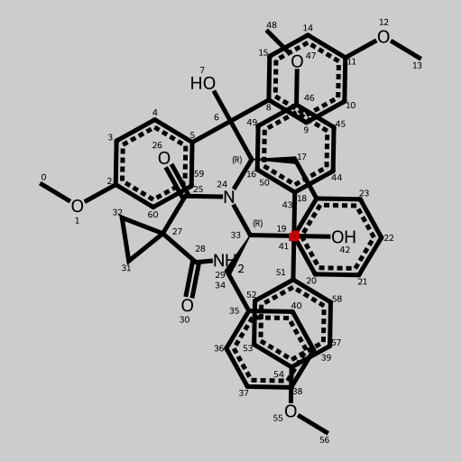 COc1ccc(C(O)(c2ccc(OC)cc2)[C@@H](Cc2ccccc2)N(C(=O)C2(C(N)=O)CC2)[C@H](Cc2ccccc2)C(O)(c2ccc(OC)cc2)c2ccc(OC)cc2)cc1